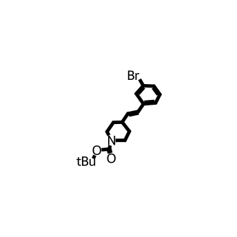 CC(C)(C)OC(=O)N1CCC(/C=C/c2cccc(Br)c2)CC1